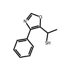 CC(S)c1ocnc1-c1ccccc1